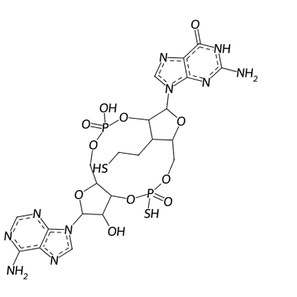 Nc1nc2c(ncn2C2OC3COP(=O)(S)OC4C(COP(=O)(O)OC2C3CCS)OC(n2cnc3c(N)ncnc32)C4O)c(=O)[nH]1